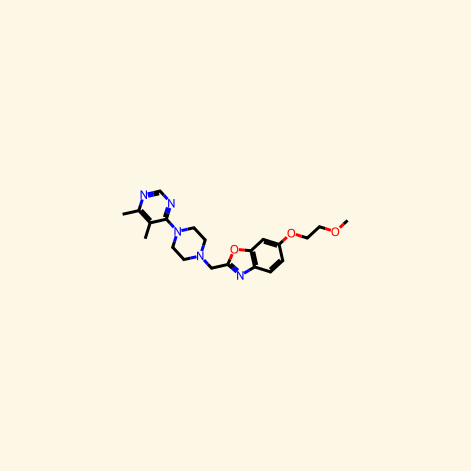 COCCOc1ccc2nc(CN3CCN(c4ncnc(C)c4C)CC3)oc2c1